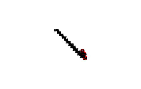 CCCCCCCCCCCCCCCCCCC/C=C/C1=CC(=O)OC1=O